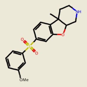 COc1cccc(S(=O)(=O)c2ccc3c(c2)OC2CNCCC32C)c1